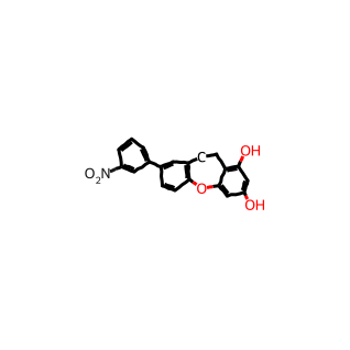 O=[N+]([O-])c1cccc(-c2ccc3c(c2)CCc2c(O)cc(O)cc2O3)c1